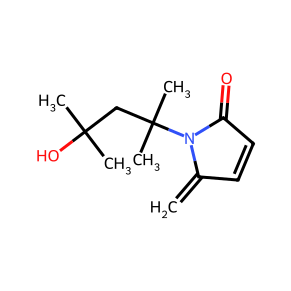 C=C1C=CC(=O)N1C(C)(C)CC(C)(C)O